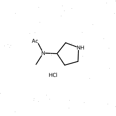 CC(=O)N(C)C1CCNC1.Cl